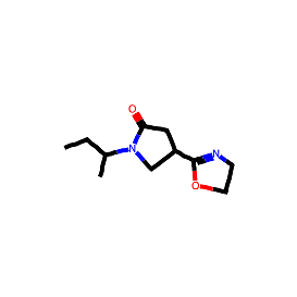 CCC(C)N1CC(C2=NCCO2)CC1=O